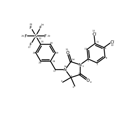 CC1(C)C(=O)N(c2ccc(Cl)c(Cl)c2)C(=O)N1Cc1ccc(S(F)(F)(F)(F)F)cc1